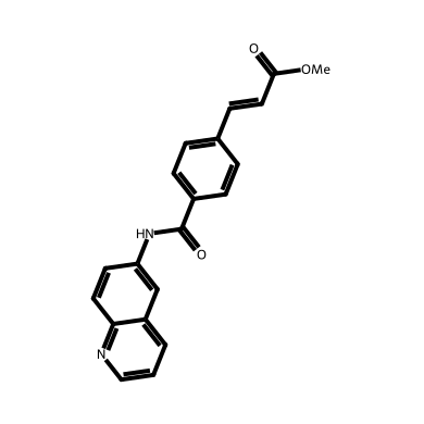 COC(=O)/C=C/c1ccc(C(=O)Nc2ccc3ncccc3c2)cc1